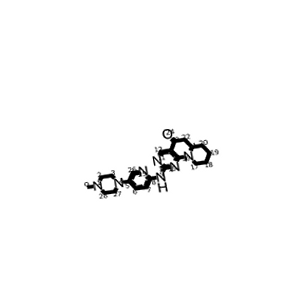 CN1CCN(c2ccc(Nc3ncc4c(n3)N3CCCCC3CC4=O)nc2)CC1